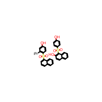 CC(C)c1cc(O)ccc1S(=O)(=O)c1cccc2ccccc12.O=S(=O)(c1ccc(O)cc1)c1c(O)ccc2ccccc12